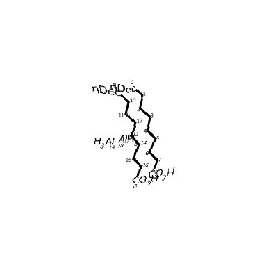 CCCCCCCCCCCCCCCCCC(=O)O.CCCCCCCCCCCCCCCCCC(=O)O.[AlH3].[AlH3]